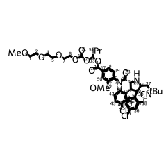 COCCOCCOCCOC(=O)OC(OC(=O)c1ccc(NC(=O)[C@@H]2NC(CC(C)(C)C)[C@](C#N)(c3ccc(Cl)cc3F)[C@H]2c2cccc(Cl)c2F)c(OC)c1)C(C)C